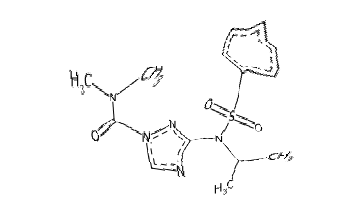 CC(C)N(c1ncn(C(=O)N(C)C)n1)S(=O)(=O)c1ccccc1